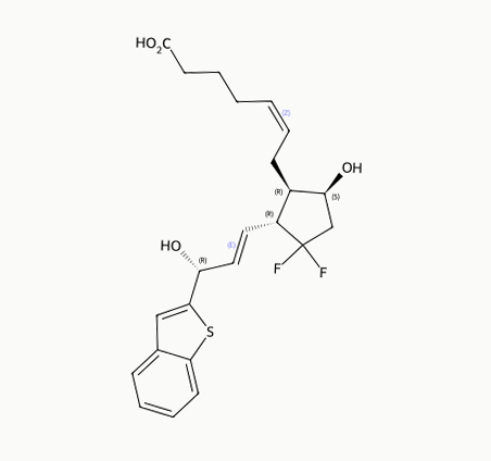 O=C(O)CCC/C=C\C[C@@H]1[C@@H](/C=C/[C@@H](O)c2cc3ccccc3s2)C(F)(F)C[C@@H]1O